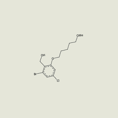 COCCCCCOc1cc(Cl)cc(Br)c1CO